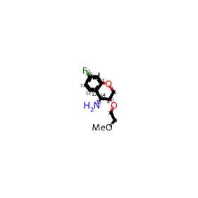 COCCO[C@H]1COc2cc(F)ccc2[C@@H]1N